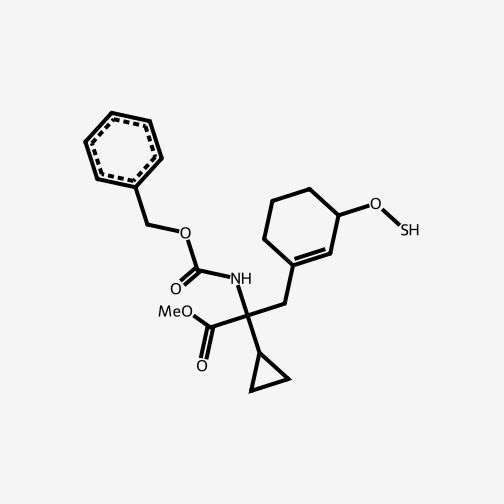 COC(=O)C(CC1=CC(OS)CCC1)(NC(=O)OCc1ccccc1)C1CC1